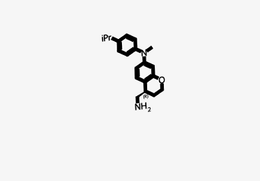 CC(C)c1ccc(N(C)c2ccc3c(c2)OCC[C@H]3CN)cc1